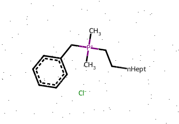 CCCCCCCCC[P+](C)(C)Cc1ccccc1.[Cl-]